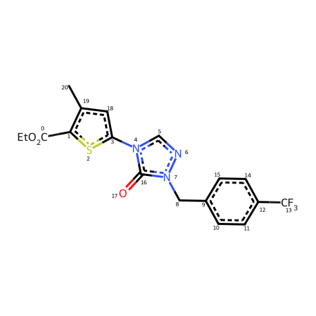 CCOC(=O)c1sc(-n2cnn(Cc3ccc(C(F)(F)F)cc3)c2=O)cc1C